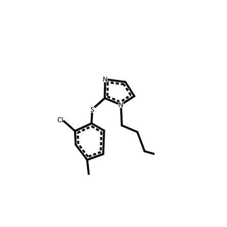 CCCCn1ccnc1Sc1ccc(C)cc1Cl